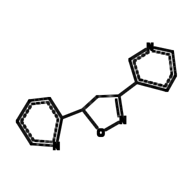 c1ccc(C2CC(c3cccnc3)=NO2)nc1